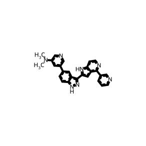 CN(C)c1cncc(-c2ccc3[nH]nc(-c4cc5c(-c6cccnc6)nccc5[nH]4)c3c2)c1